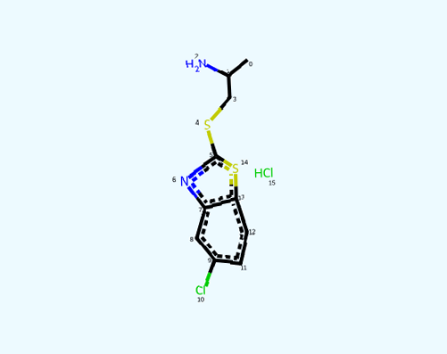 CC(N)CSc1nc2cc(Cl)ccc2s1.Cl